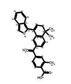 C=C(c1ccc(C(=O)O)c(C)c1)c1ccc2c(c1)C(c1occ3ccccc13)=CCC2(C)C